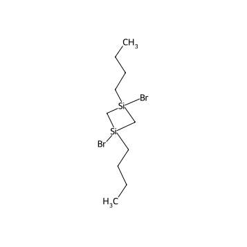 CCCC[Si]1(Br)C[Si](Br)(CCCC)C1